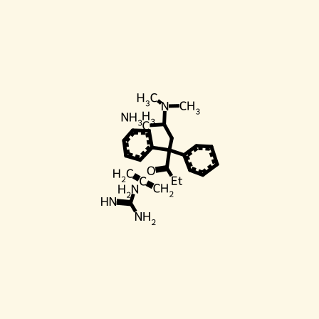 C=C=C.CCC(=O)C(CC(C)N(C)C)(c1ccccc1)c1ccccc1.N.N=C(N)N